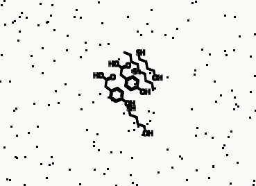 CCC[CH2][Sn][CH2]CCC.O=C(O)Cc1ccc(O)cc1.O=C(O)Cc1ccc(O)cc1.OCCCCS.OCCCCS